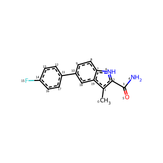 Cc1c(C(N)=O)[nH]c2ccc(-c3ccc(F)cc3)cc12